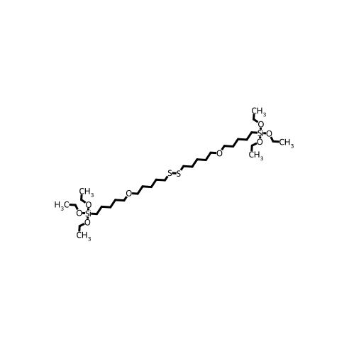 CCO[Si](CCCCCOCCCCCSSCCCCCOCCCCC[Si](OCC)(OCC)OCC)(OCC)OCC